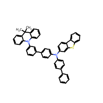 CC1(C)c2ccccc2N(c2cccc(-c3ccc(N(c4ccc(-c5ccccc5)cc4)c4ccc5c(c4)sc4ccccc45)cc3)c2)c2ccccc21